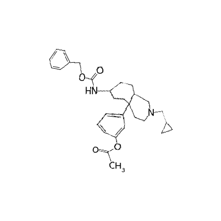 CC(=O)Oc1cccc(C23CCN(CC4CC4)CC2CCC(NC(=O)OCc2ccccc2)C3)c1